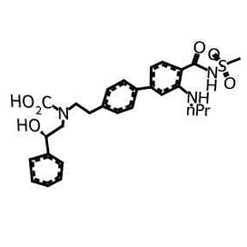 CCCNc1cc(-c2ccc(CCN(C[C@H](O)c3ccccc3)C(=O)O)cc2)ccc1C(=O)NS(C)(=O)=O